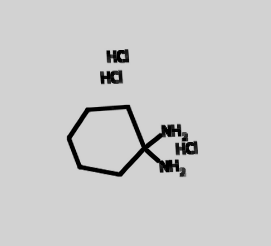 Cl.Cl.Cl.NC1(N)CCCCC1